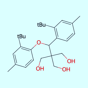 Cc1ccc(OC(c2ccc(C)cc2C(C)(C)C)C(CO)(CO)CO)c(C(C)(C)C)c1